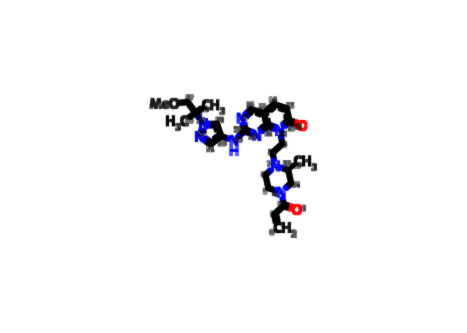 C=CC(=O)N1CCN(CCn2c(=O)ccc3cnc(Nc4cnn(C(C)(C)COC)c4)nc32)[C@@H](C)C1